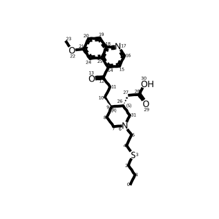 CCCSCCN1CC[C@@H](CCC(=O)c2ccnc3ccc(OC)cc23)[C@H](CC(=O)O)C1